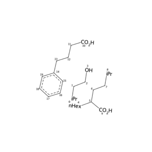 CC(C)CCO.CCCCCCC(CCC(C)C)C(=O)O.O=C(O)CCCc1ccccc1